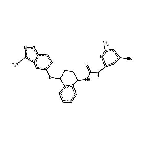 Bc1cc(C(C)(C)C)cc(NC(=O)NC2CCC(Oc3ccc4nnc(B)n4c3)c3ccccc32)n1